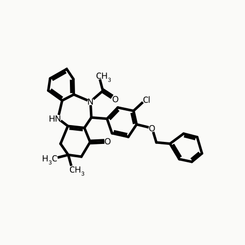 CC(=O)N1c2ccccc2NC2=C(C(=O)CC(C)(C)C2)C1c1ccc(OCc2ccccc2)c(Cl)c1